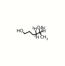 [2H]C([2H])(CCCO)[C@@]([2H])(C)OC(C)=O